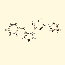 O=C(C=C(O)c1nc[nH]n1)c1ccsc1Cc1ccccn1